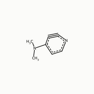 CN(C)c1c#cncc1